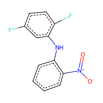 O=[N+]([O-])c1ccccc1Nc1cc(F)ccc1F